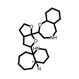 C1CC[C@H]2CCCNC2(C2CC3CCOC3(C3CNCC4CCCCC4O3)O2)CC1